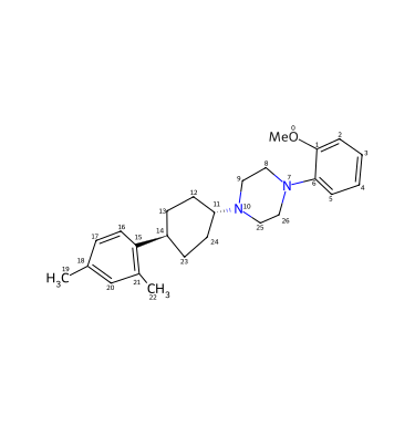 COc1ccccc1N1CCN([C@H]2CC[C@H](c3ccc(C)cc3C)CC2)CC1